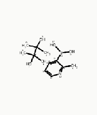 CC(C)(O)C(C)(C)O.Cc1ncccc1B(O)O